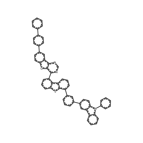 c1ccc(-c2ccc(-c3ccc4oc5c(-c6cccc7sc8c(-c9cccc(-c%10ccc%11c(c%10)c%10ccccc%10n%11-c%10ccccc%10)c9)cccc8c67)ncnc5c4c3)cc2)cc1